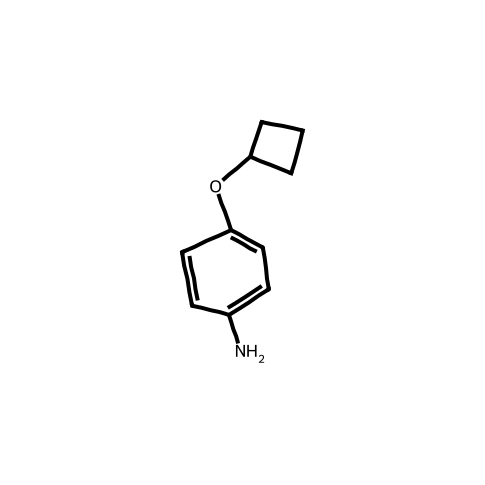 Nc1ccc(OC2CCC2)cc1